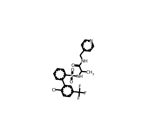 CC(NS(=O)(=O)c1ccccc1-c1cc(C(F)(F)F)ccc1Cl)C(=O)NCc1ccncc1